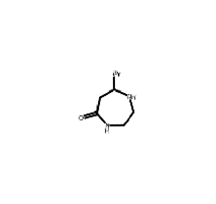 CC(C)C1CC(=O)NCCN1